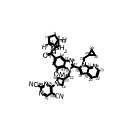 COc1cc(C(=O)N2C[C@H]3CC[C@@H]2[C@@H]3N)cc2nc(-c3cc4cccnc4n3CC3CC3)n(CC3CN(c4nc(C#N)ncc4C#N)C3)c12